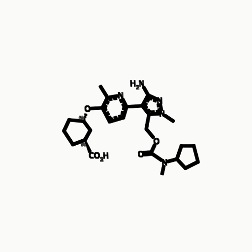 Cc1nc(-c2c(N)nn(C)c2COC(=O)N(C)C2CCCC2)ccc1O[C@H]1CCC[C@H](C(=O)O)C1